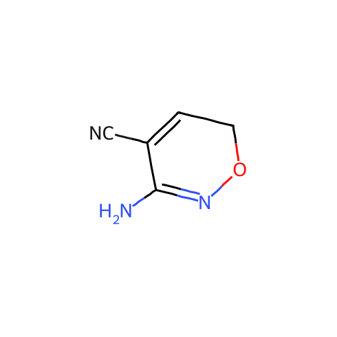 N#CC1=CCON=C1N